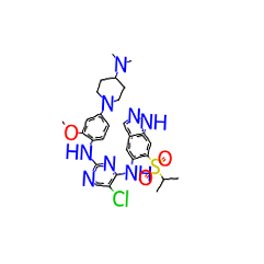 COc1cc(N2CCC(N(C)C)CC2)ccc1Nc1ncc(Cl)c(Nc2cc3cn[nH]c3cc2S(=O)(=O)C(C)C)n1